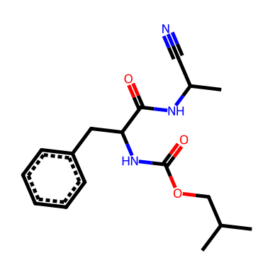 CC(C)COC(=O)NC(Cc1ccccc1)C(=O)NC(C)C#N